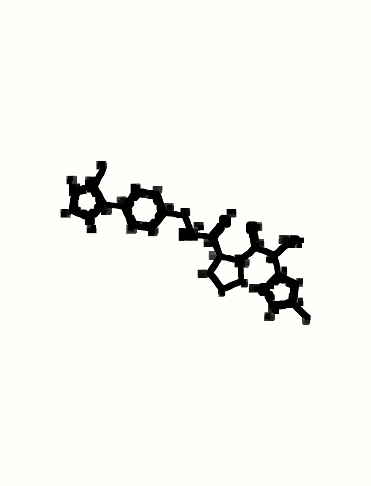 Cc1cc(C(C(=O)N2CCC[C@H]2C(=O)NCc2ccc(-c3scnc3C)cc2)C(C)C)on1